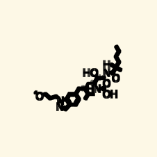 CCCCC(C)(C)C(=O)NC[C@H](O)[C@H](C[C@H](Cc1ccc2cnn(CCCOC)c2c1)C(C)C)NC(=O)O